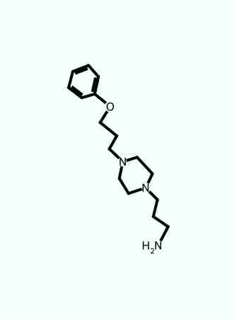 NCCCN1CCN(CCCOc2ccccc2)CC1